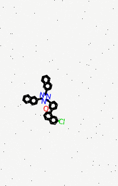 Clc1ccc2ccc3oc4c(-c5nc(-c6ccc7ccccc7c6)nc(-c6ccc7ccccc7c6)n5)cccc4c3c2c1